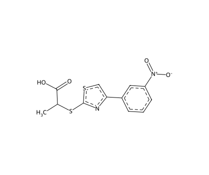 CC(Sc1nc(-c2cccc([N+](=O)[O-])c2)cs1)C(=O)O